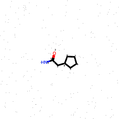 [NH]C(=O)CC1CCCC1